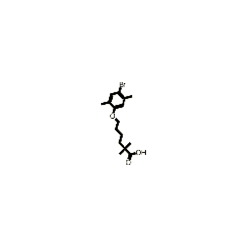 Cc1cc(OCCCCC(C)(C)C(=O)O)c(C)cc1Br